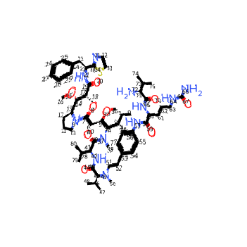 CC[C@H](C)[C@@H]([C@@H](CC(=O)N1CCC[C@H]1[C@H](OC)[C@@H](C)C(=O)N[C@@H](Cc1ccccc1)c1nccs1)OC)N(C)C(=O)[C@@H](NC(=O)[C@H](C(C)C)N(C)CCc1ccc(NC(=O)C(CCCNC(N)=O)NC(=O)[C@@H](N)C(C)C)cc1)C(C)C